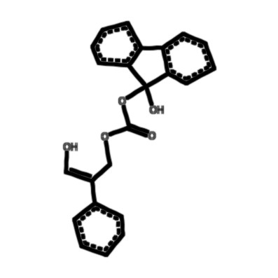 O=C(OCC(=CO)c1ccccc1)OC1(O)c2ccccc2-c2ccccc21